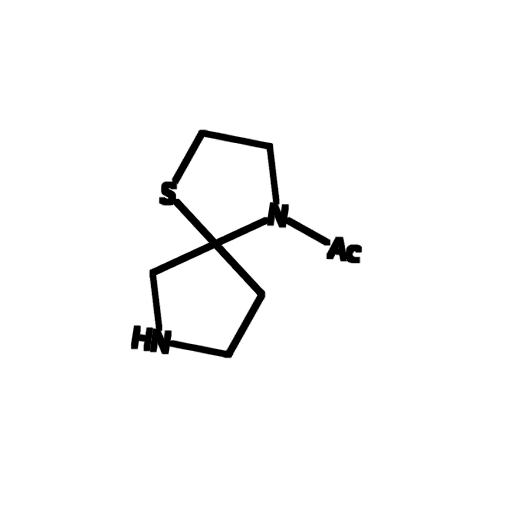 CC(=O)N1CCSC12CCNC2